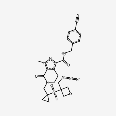 Cn1nc(C(=O)NCc2ccc(C#N)cc2)c2c1C(=O)N(CC1(S(=O)(=O)C3(CN=[N+]=[N-])COC3)CC1)CC2